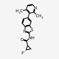 Cc1ccnc(C)c1-c1ccc2nc(NC(=O)C3C[C@@H]3F)sc2c1